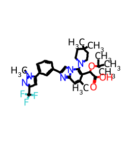 Cc1cc2nc(-c3cccc(-c4cc(C(F)(F)F)nn4C)c3)cn2c(N2CCC(C)(C)CC2)c1C(OC(C)(C)C)C(=O)O